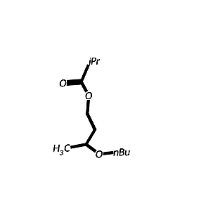 CCCCOC(C)CCOC(=O)C(C)C